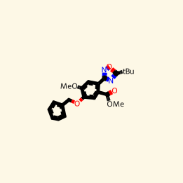 COC(=O)c1cc(OCc2ccccc2)c(OC)cc1-c1noc(C(C)(C)C)n1